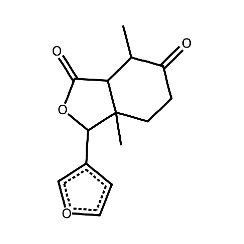 CC1C(=O)CCC2(C)C(c3ccoc3)OC(=O)C12